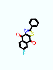 O=C1c2ccc(F)cc2C(=O)c2sc(-c3ccccc3)nc21